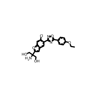 CCOc1ccc(-c2nc(-c3cc4cc(C(N)(CO)CO)oc4cc3Cl)no2)cc1